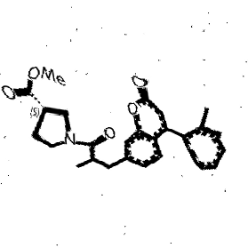 COC(=O)[C@H]1CCN(C(=O)C(C)Cc2ccc3c(-c4ccccc4C)cc(=O)oc3c2)C1